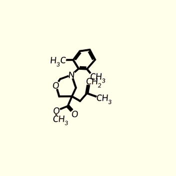 C=C(C)CC1(C(=O)OC)COCN(c2c(C)cccc2C)C1